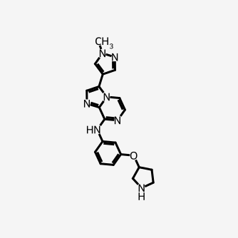 Cn1cc(-c2cnc3c(Nc4cccc(OC5CCNC5)c4)nccn23)cn1